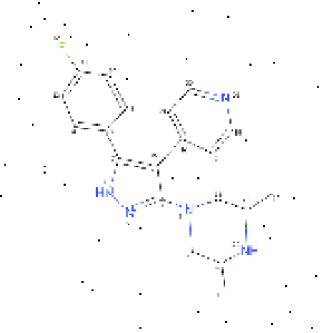 CC1CN(c2n[nH]c(-c3ccc(F)cc3)c2-c2ccncc2)CC(C)N1